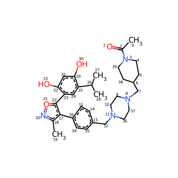 CC(=O)N1CCC(CN2CCN(Cc3ccc(-c4c(C)noc4-c4cc(C(C)C)c(O)cc4O)cc3)CC2)CC1